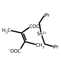 CC(C(=O)[O-])=C(C)C(=O)[O-].CC(C)[CH2][Sn+2][CH2]C(C)C